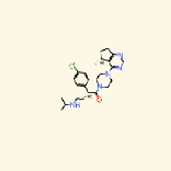 CC(C)NCC[C@@H](C(=O)N1CCN(c2ncnc3c2[C@H](C)CC3)CC1)c1ccc(Cl)cc1